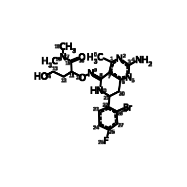 Cc1nc(N)nc2c1C(=NOC(CCO)C(=O)N(C)C)NC(c1ccc(F)cc1Br)C2